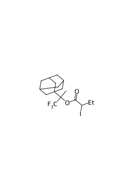 CCC(I)C(=O)OC(C)(C(F)(F)F)C12CC3CC(CC(C3)C1)C2